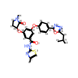 Cc1csc(NC(=O)c2cc(Oc3ccc(-c4nnc(CC(C)C)o4)cc3)cc(OC3CCN(C)C3=O)c2)n1